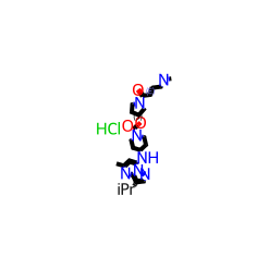 Cc1cc(NC2CCN(C(=O)O[C@H]3CCN(C(=O)/C=C/CN(C)C)C3)CC2)n2ncc(C(C)C)c2n1.Cl